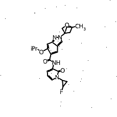 CC(C)Oc1cc2nn(C34COC(C)(C3)C4)cc2cc1C(=O)Nc1cccn(C2CC2F)c1=O